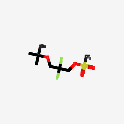 CC(C)(C)[Si](C)(C)OCC(F)(F)COS(=O)(=O)C(F)(F)F